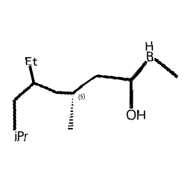 CBC(O)C[C@H](C)C(CC)CC(C)C